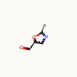 O=Cc1cnc(Br)o1